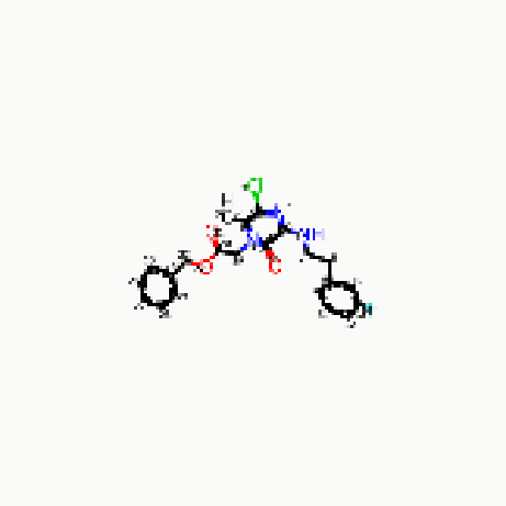 Cc1c(Cl)nc(NCCc2cccc(F)c2)c(=O)n1CC(=O)OCc1ccccc1